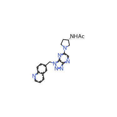 CC(=O)N[C@H]1CCN(c2cnc3nnn(Cc4ccc5ncccc5c4)c3n2)C1